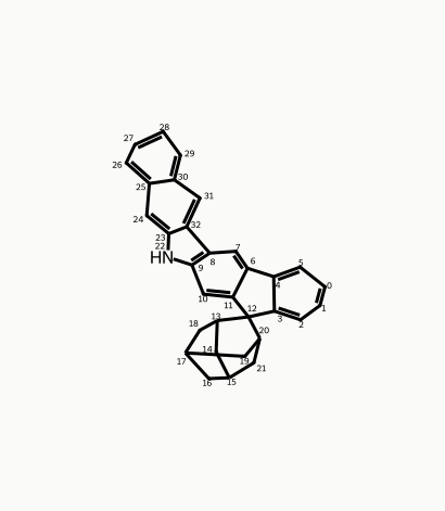 c1ccc2c(c1)-c1cc3c(cc1C21C2CC4CC(C2)CC1C4)[nH]c1cc2ccccc2cc13